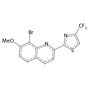 COc1ccc2[c]cc(-c3nc(C(F)(F)F)cs3)nc2c1Br